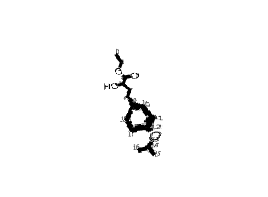 CCOC(=O)C(O)CCc1ccc(OC(C)C)cc1